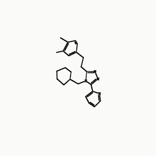 Cc1ccc(CCc2nnc(-c3ccccn3)n2CC2CCCCC2)cc1C